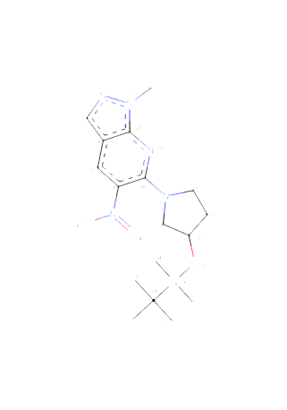 Cn1ncc2cc([N+](=O)[O-])c(N3CCC(O[Si](C)(C)C(C)(C)C)C3)nc21